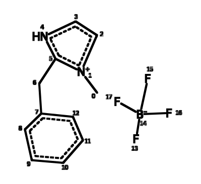 C[n+]1cc[nH]c1Cc1ccccc1.F[B-](F)(F)F